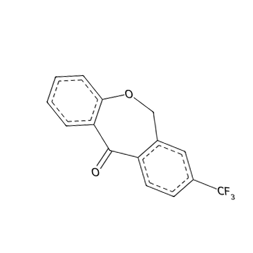 O=C1c2ccc(C(F)(F)F)cc2COc2ccccc21